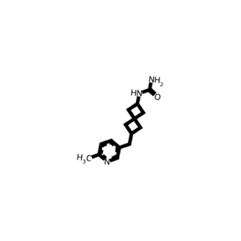 Cc1ccc(CC2CC3(C2)CC(NC(N)=O)C3)cn1